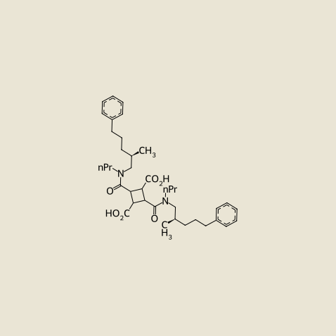 CCCN(C[C@H](C)CCCc1ccccc1)C(=O)C1C(C(=O)O)C(C(=O)N(CCC)C[C@H](C)CCCc2ccccc2)C1C(=O)O